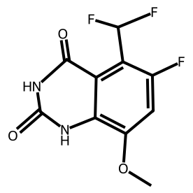 COc1cc(F)c(C(F)F)c2c(=O)[nH]c(=O)[nH]c12